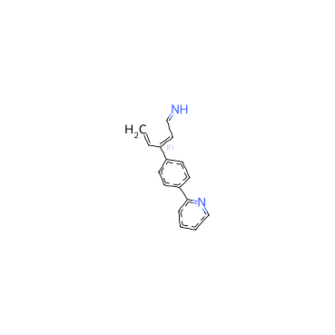 C=C/C(=C\C=N)c1ccc(-c2ccccn2)cc1